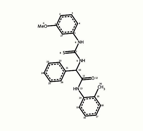 COc1cccc(NC(=S)NC(C(=O)Nc2ccccc2C)c2ccccc2)c1